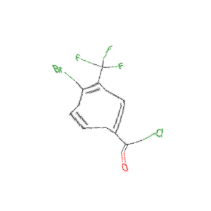 O=C(Cl)c1ccc(Br)c(C(F)(F)F)c1